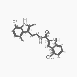 Cc1[nH]c2c(F)ccc(C)c2c1CCNC(=O)c1cc2c(Cl)cccc2[nH]1